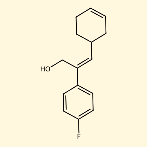 OCC(=CC1CC=CCC1)c1ccc(F)cc1